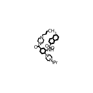 CC=CCN1CCN(C(=O)c2ccc(N3CCN(C(C)C)CC3)c(NS(=O)(=O)c3ccc4ccccc4c3)c2)CC1